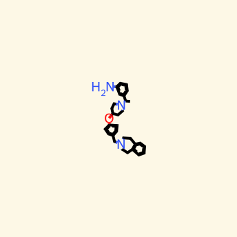 CC(c1cccc(N)c1)N1CCC(Oc2ccc(CN3CCc4ccccc4CC3)cc2)CC1